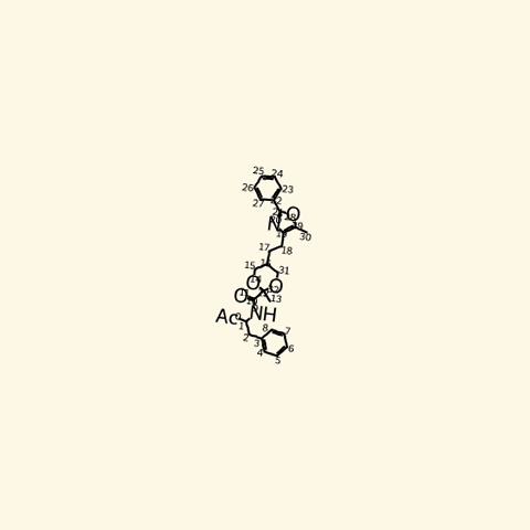 CC(=O)C(Cc1ccccc1)NC(=O)C1(C)OCC(CCc2nc(-c3ccccc3)oc2C)CO1